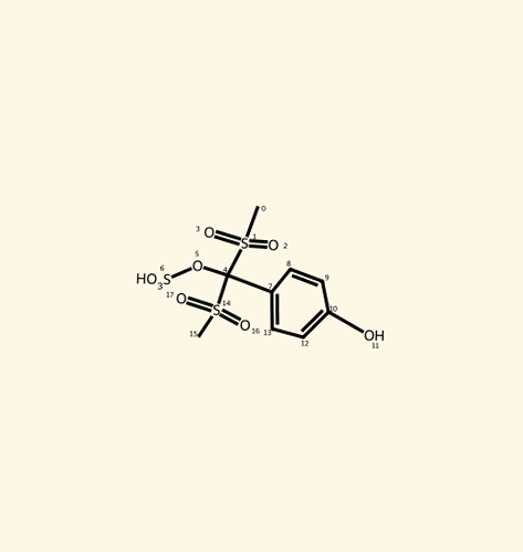 CS(=O)(=O)C(OS(=O)(=O)O)(c1ccc(O)cc1)S(C)(=O)=O